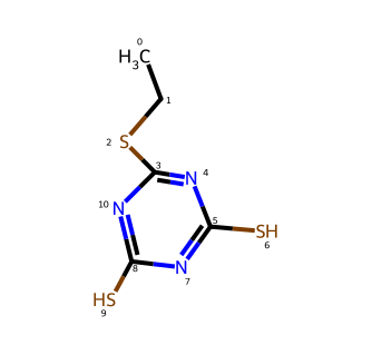 CCSc1nc(S)nc(S)n1